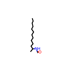 CCCCCCCCCCCC(C)N[C]=O